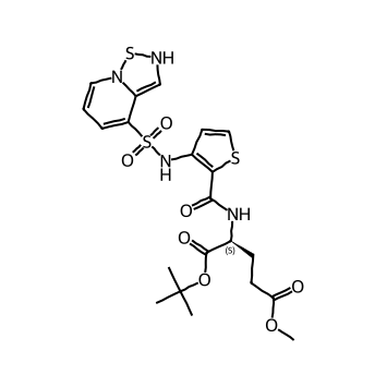 COC(=O)CC[C@H](NC(=O)c1sccc1NS(=O)(=O)C1=CC=CN2SNC=C12)C(=O)OC(C)(C)C